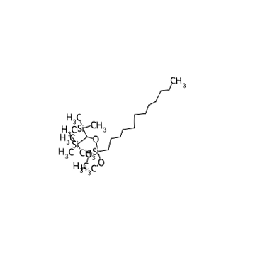 CCCCCCCCCCCC[Si](OC)(OC)OC([Si](C)(C)C)[Si](C)(C)C